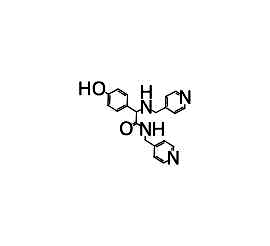 O=C(NCc1ccncc1)C(NCc1ccncc1)c1ccc(O)cc1